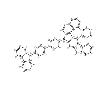 c1ccc2c(c1)-c1cccc3ccc4c(c13)c1c-2c2c(cc1n4-c1ccc(-c3ccc(-n4c5ccccc5c5ccccc54)cc3)cc1)sc1ccccc12